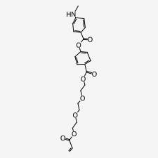 C=CC(=O)OCCOCCOCCOC(=O)c1ccc(OC(=O)c2ccc(NC)cc2)cc1